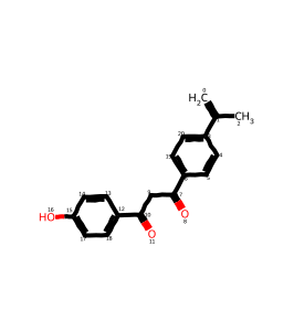 C=C(C)c1ccc(C(=O)CC(=O)c2ccc(O)cc2)cc1